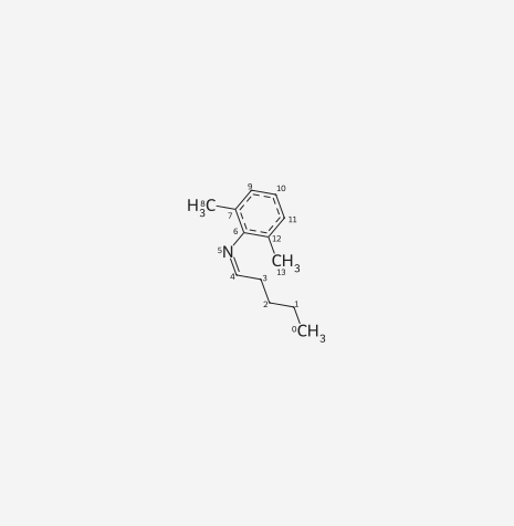 CCCC/C=N\c1c(C)cccc1C